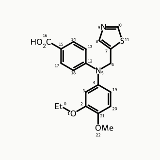 CCOc1cc(N(Cc2cncs2)c2ccc(C(=O)O)cc2)ccc1OC